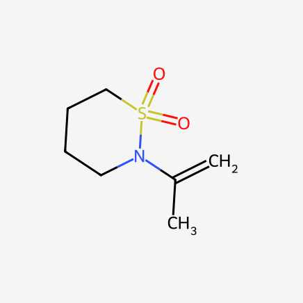 C=C(C)N1CCCCS1(=O)=O